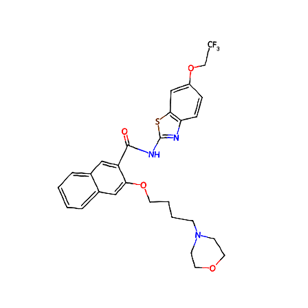 O=C(Nc1nc2ccc(OCC(F)(F)F)cc2s1)c1cc2ccccc2cc1OCCCCN1CCOCC1